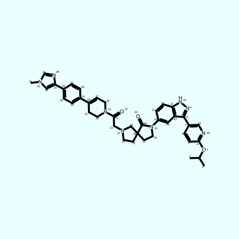 CC(C)Oc1ccc(-c2n[nH]c3ccc(N4CCC5(CCN(CC(=O)N6CC=C(c7ccc(-c8cn(C)cn8)cc7)CC6)C5)C4=O)cc23)cn1